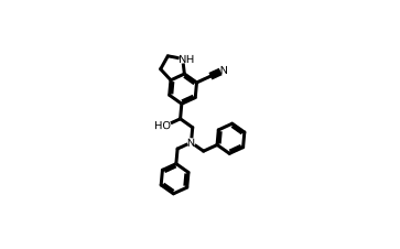 N#Cc1cc(C(O)CN(Cc2ccccc2)Cc2ccccc2)cc2c1NCC2